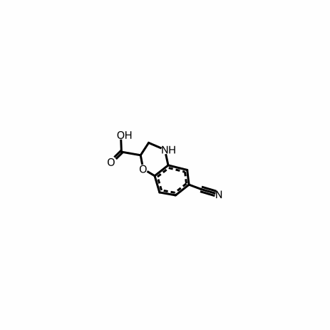 N#Cc1ccc2c(c1)NCC(C(=O)O)O2